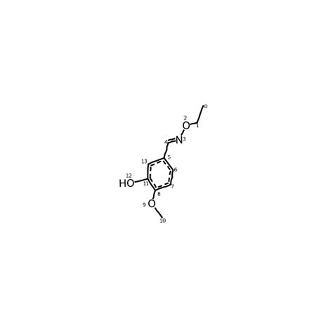 CCO/N=C/c1ccc(OC)c(O)c1